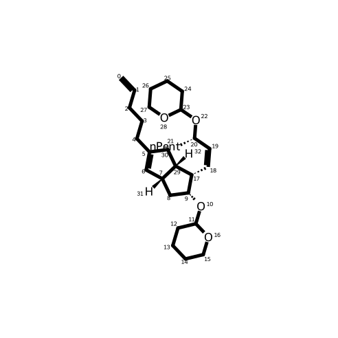 C=CCCCC1=C[C@H]2C[C@@H](OC3CCCCO3)[C@@H](/C=C\[C@H](CCCCC)OC3CCCCO3)[C@H]2C1